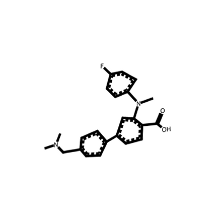 CN(C)Cc1ccc(-c2ccc(C(=O)O)c(N(C)c3ccc(F)cc3)c2)cc1